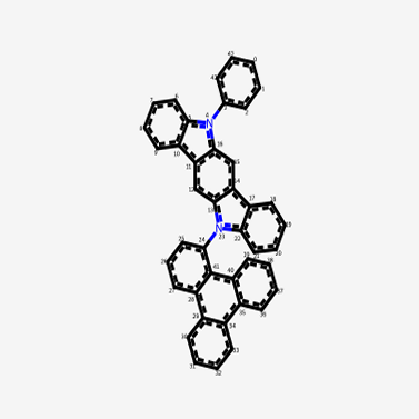 c1ccc(-n2c3ccccc3c3cc4c(cc32)c2ccccc2n4-c2cccc3c4ccccc4c4ccccc4c23)cc1